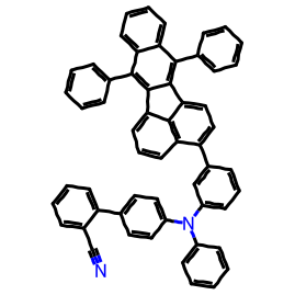 N#Cc1ccccc1-c1ccc(N(c2ccccc2)c2cccc(-c3ccc4c5c(cccc35)-c3c-4c(-c4ccccc4)c4ccccc4c3-c3ccccc3)c2)cc1